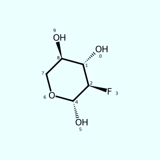 O[C@@H]1[C@@H](F)[C@H](O)OC[C@H]1O